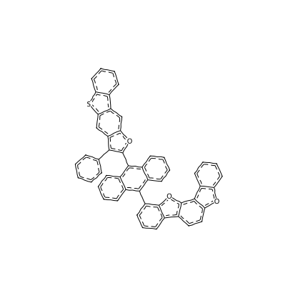 c1ccc(-c2c(-c3c4ccccc4c(-c4cccc5c4oc4c5ccc5oc6ccccc6c54)c4ccccc34)oc3cc4c(cc23)sc2ccccc24)cc1